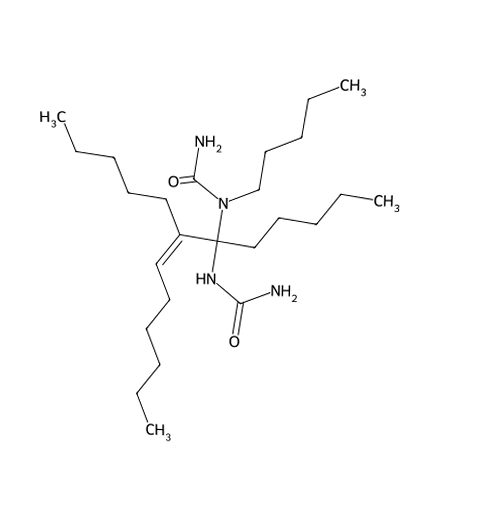 CCCCCC=C(CCCCC)C(CCCCC)(NC(N)=O)N(CCCCC)C(N)=O